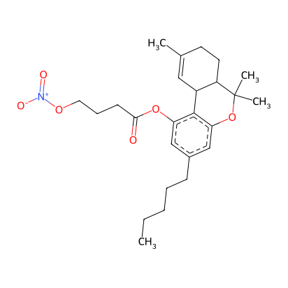 CCCCCc1cc(OC(=O)CCCO[N+](=O)[O-])c2c(c1)OC(C)(C)C1CCC(C)=CC21